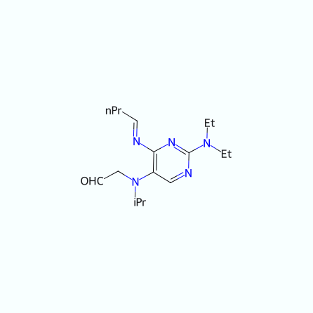 [CH2]CCC=Nc1nc(N(CC)CC)ncc1N(CC=O)C(C)C